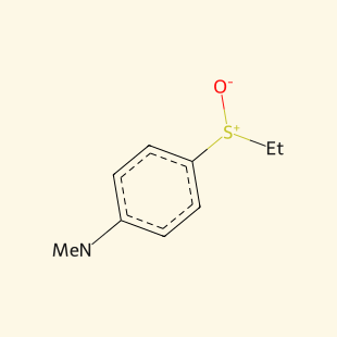 CC[S+]([O-])c1ccc(NC)cc1